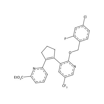 CCOC(=O)c1cccc(C2=C(c3cc(C(F)(F)F)cnc3OCc3ccc(Cl)cc3F)CCC2)n1